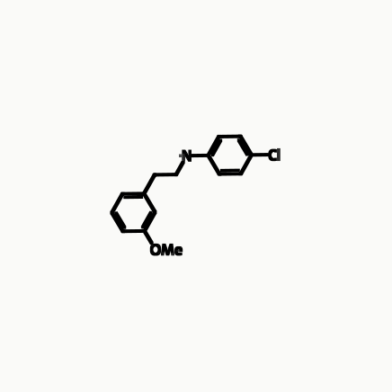 COc1cccc(CC[N]c2ccc(Cl)cc2)c1